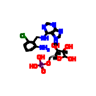 Nc1cccc(Cl)c1CNc1ncnc2nc[nH]c12.O=P(O)(O)OC[C@H]1OC(O)[C@H](O)[C@@H]1O